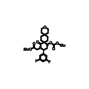 COC(=O)CN1C(=O)C2(CCC3(CCOCC3)CC2)N(OC(=O)OC(C)(C)C)C[C@H]1c1cc(F)cc(F)c1